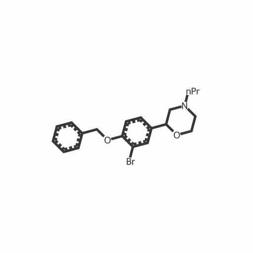 CCCN1CCOC(c2ccc(OCc3ccccc3)c(Br)c2)C1